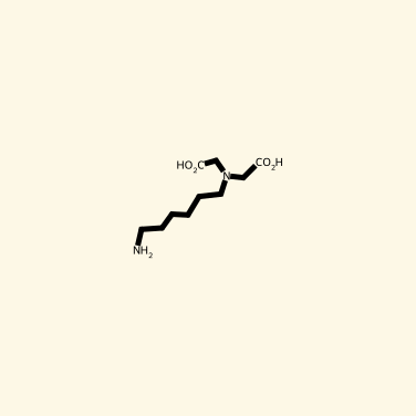 NCCCCCCN(CC(=O)O)CC(=O)O